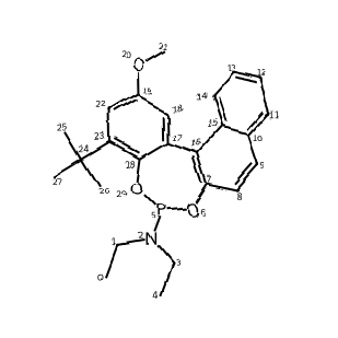 CCN(CC)p1oc2ccc3ccccc3c2c2cc(OC)cc(C(C)(C)C)c2o1